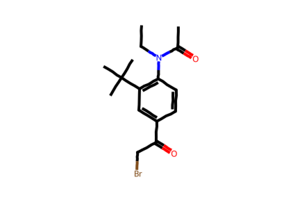 CCN(C(C)=O)c1ccc(C(=O)CBr)cc1C(C)(C)C